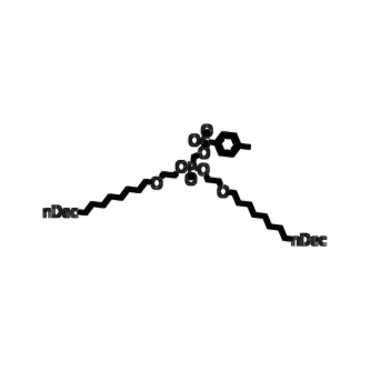 CCCCCCCCCCCCCCCCCCOCCOP(=O)(COS(=O)(=O)c1ccc(C)cc1)OCCOCCCCCCCCCCCCCCCCCC